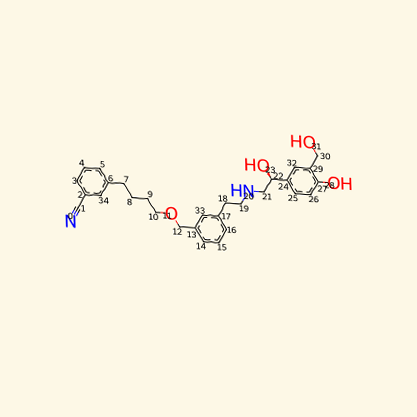 N#Cc1cccc(CCCCOCc2cccc(CCNC[C@@H](O)c3ccc(O)c(CO)c3)c2)c1